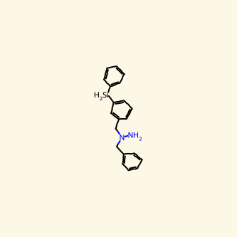 NN(Cc1ccccc1)Cc1cccc([SiH2]c2ccccc2)c1